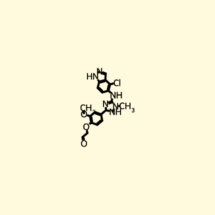 COc1cc(C2N=C(Nc3ccc4[nH]ncc4c3Cl)N(C)N2)ccc1OCC=O